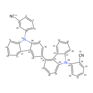 N#Cc1cccc(-n2c3ccccc3c3cc(-c4cccc5c4c4ccccc4n5-c4ccccc4C#N)ccc32)c1